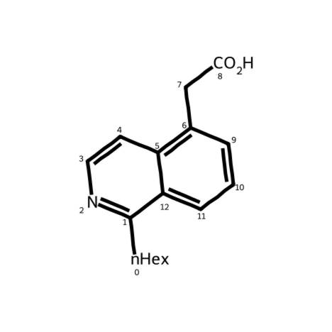 CCCCCCc1nccc2c(CC(=O)O)cccc12